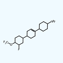 CCCC1CCC(C2=CCC(C3CCC(OC(F)(F)F)C(F)C3)CC2)CC1